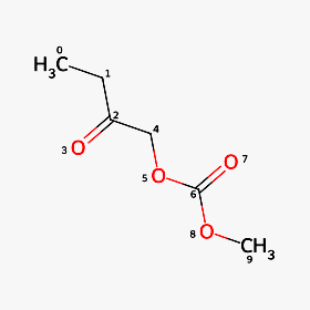 CCC(=O)COC(=O)OC